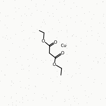 CCOC(=O)CC(=O)OCC.[Cu]